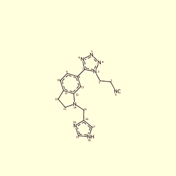 [C-]#[N+]CCn1nnnc1-c1ccc2c(c1)N(Cc1c[nH]cn1)CC2